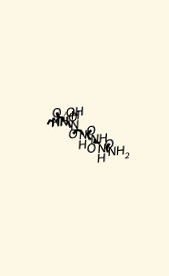 CCNC(=O)[C@H](CO)NC(=O)CNC(=O)CNC(=O)CNC(=O)CNC(=O)CN